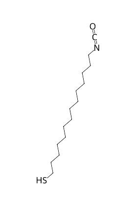 O=C=NCCCCCCCCCCCCCCS